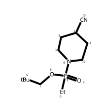 CCP(=O)(OCC(C)(C)C)N1CCC(C#N)CC1